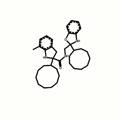 Cc1cccc2c1NC(C(=O)NCC1(C3CCCCCCCC3)Nc3ccccc3O1)(C1CCCCCCCCC1)C2